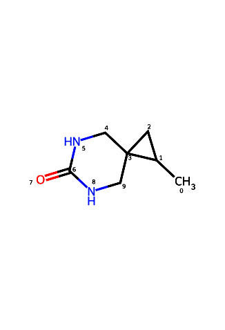 CC1CC12CNC(=O)NC2